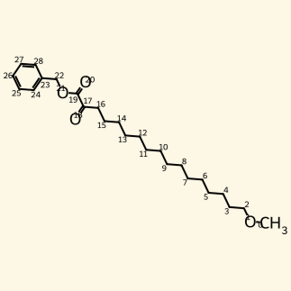 COCCCCCCCCCCCCCCCC(=O)C(=O)OCc1ccccc1